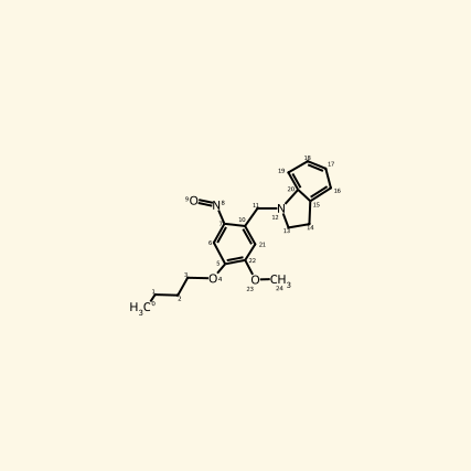 CCCCOc1cc(N=O)c(CN2CCc3ccccc32)cc1OC